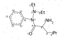 CCN(CC)N(C(=O)C(N)CC(C)C)c1ccccc1